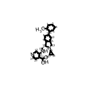 Cc1ccccc1-c1ccc2c(c1)CN(C1CC1)[C@@H]2CNc1cnccc1C(=O)O